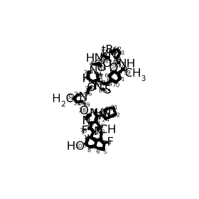 C#Cc1c(F)ccc2cc(O)cc(-c3ncc4c(N5CC6CCC(C5)N6)nc(OC[C@@H]5CC(=C)CN5CCOC5CCN(CC(=O)N[C@H](C(=O)N6CCC[C@H]6C(=O)N[C@@H](C)c6ccc(-c7scnc7C)cc6)C(C)(C)C)CC5)nc4c3F)c12